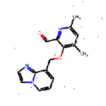 Cc1cc(C)c(OCc2cccn3ccnc23)c(C=O)n1